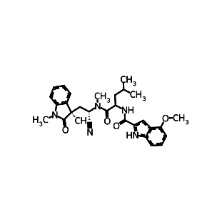 COc1cccc2[nH]c(C(=O)NC(CC(C)C)C(=O)N(C)[C@H](C#N)C[C@@]3(C)C(=O)N(C)c4ccccc43)cc12